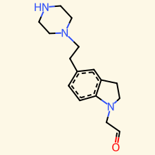 O=CCN1CCc2cc(CCN3CCNCC3)ccc21